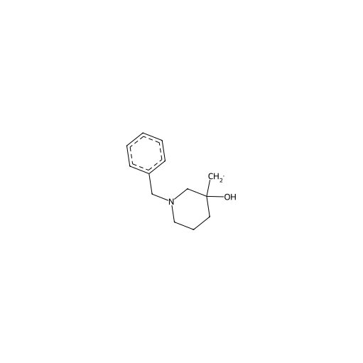 [CH2]C1(O)CCCN(Cc2ccccc2)C1